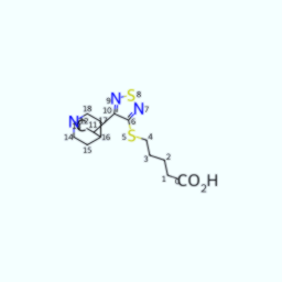 O=C(O)CCCCSc1nsnc1C1CN2CCC1CC2